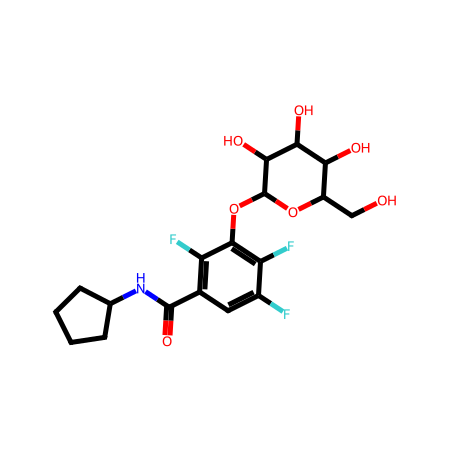 O=C(NC1CCCC1)c1cc(F)c(F)c(OC2OC(CO)C(O)C(O)C2O)c1F